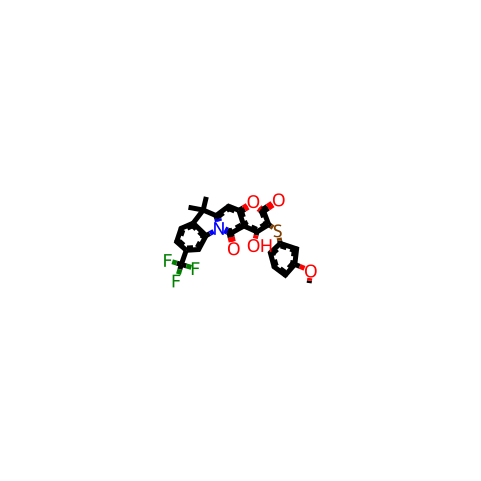 COc1cccc(Sc2c(O)c3c(=O)n4c(cc3oc2=O)C(C)(C)c2ccc(C(F)(F)F)cc2-4)c1